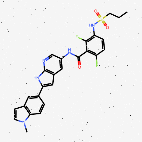 CCCS(=O)(=O)Nc1ccc(F)c(C(=O)Nc2cnc3[nH]c(-c4ccc5c(ccn5C)c4)cc3c2)c1F